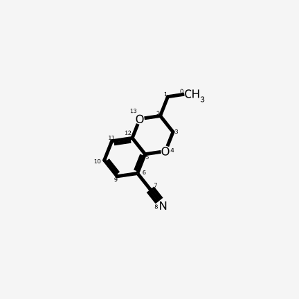 CCC1COc2c(C#N)cccc2O1